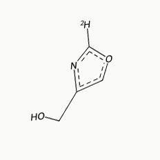 [2H]c1nc(CO)co1